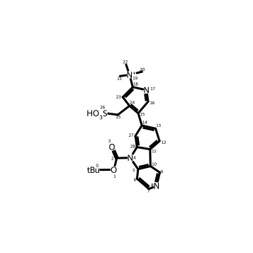 CC(C)(C)OC(=O)n1c2ccncc2c2ccc(-c3cnc([N+](C)(C)C)cc3CS(=O)(=O)O)cc21